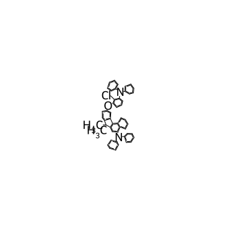 CC1(C)c2ccc(Oc3cccc(N(c4ccccc4)c4ccccc4)c3Cl)cc2-c2c1cc(N(c1ccccc1)c1ccccc1)c1ccccc21